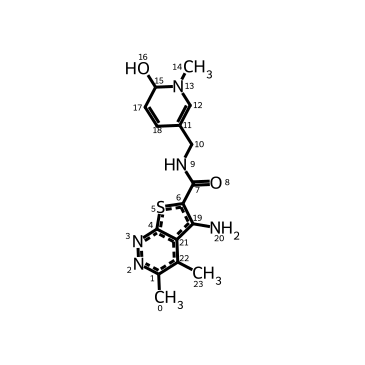 Cc1nnc2sc(C(=O)NCC3=CN(C)C(O)C=C3)c(N)c2c1C